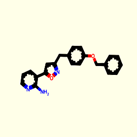 Nc1ncccc1-c1cc(Cc2ccc(OCc3ccccc3)cc2)no1